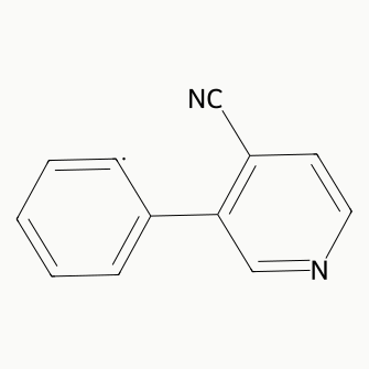 N#Cc1ccncc1-c1[c]cccc1